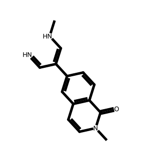 CN/C=C(\C=N)c1ccc2c(=O)n(C)ccc2c1